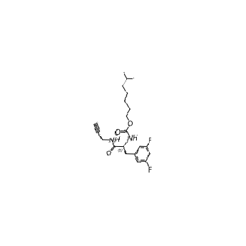 C#CCNC(=O)[C@H](Cc1cc(F)cc(F)c1)NC(=O)OCCCCCC(C)C